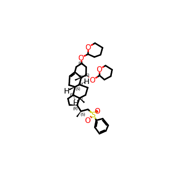 C[C@H](CS(=O)(=O)c1ccccc1)[C@H]1CC[C@H]2[C@@H]3CC=C4C[C@@H](OC5CCCCO5)C[C@H](OC5CCCCO5)[C@]4(C)[C@H]3CC[C@]12C